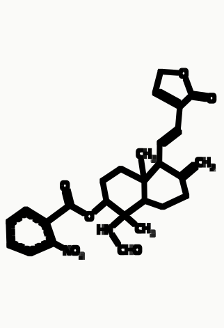 C=C1CCC2C(C)(CCC(OC(=O)c3ccccc3[N+](=O)[O-])C2(C)NC=O)C1C=CC1=CCOC1=O